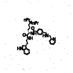 CCCN(CCC)CCC[C@H](NC(=O)c1ccc(CNCc2ccccn2)cc1)C(=O)NCCc1c[nH]c2ccccc12